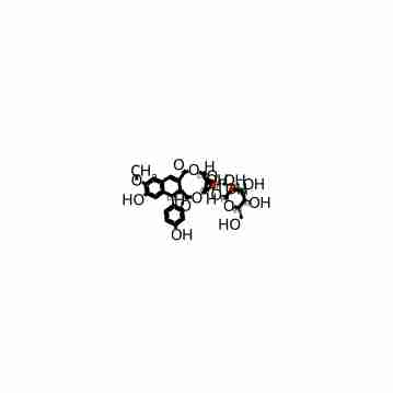 COc1cc2c(cc1O)[C@H](c1ccc(O)cc1)[C@H]1C(=O)O[C@@H]3[C@@H](O)[C@H](OC(=O)C1=C2)O[C@@]3(CO)O[C@H]1O[C@H](CO)[C@@H](O)[C@H](O)[C@H]1O